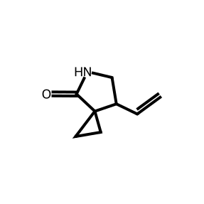 C=CC1CNC(=O)C12CC2